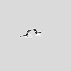 CCCCCCCCc1cc(Cc2ccc(CCCCCc3ccc(Cc4ccc(N)c(CCCCCCCC)c4)cc3)cc2)ccc1N